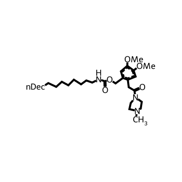 CCCCCCCCCCCCCCCCCCNC(=O)OCc1cc(OC)c(OC)cc1CC(=O)N1CCN(C)CC1